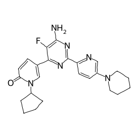 Nc1nc(-c2ccc(N3CCCCC3)cn2)nc(-c2ccc(=O)n(C3CCCC3)c2)c1F